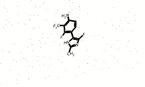 Cc1nc(F)c(-c2ccc(N)c(C(F)(F)F)c2F)[nH]1